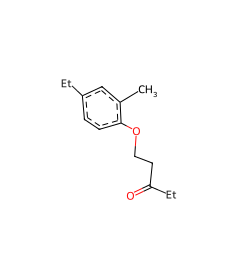 CCC(=O)CCOc1ccc(CC)cc1C